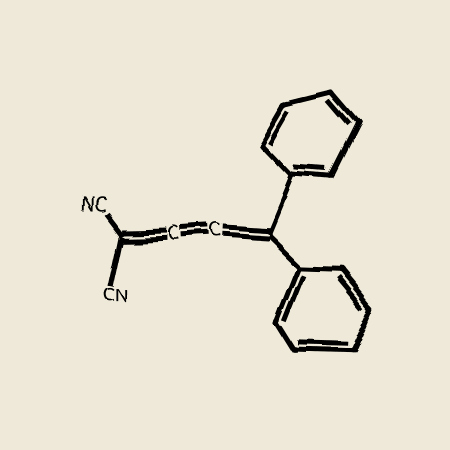 N#CC(=C=C=C(c1ccccc1)c1ccccc1)C#N